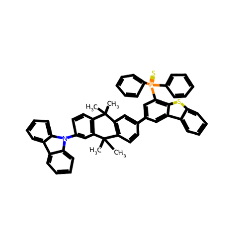 CC1(C)c2ccc(-n3c4ccccc4c4ccccc43)cc2C(C)(C)c2ccc(-c3cc(P(=S)(c4ccccc4)c4ccccc4)c4sc5ccccc5c4c3)cc21